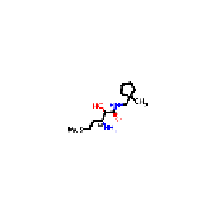 CSCC[C@H](N)C(O)C(=O)NCC1(C)CCCC1